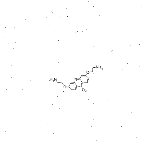 NCCOc1ccc2cc3ccc(OCCN)cc3nc2c1.[Cu]